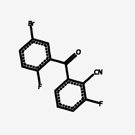 N#Cc1c(F)cccc1C(=O)c1cc(Br)ccc1F